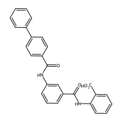 O=C(Nc1cccc(C(=O)Nc2ccccc2C(=O)O)c1)c1ccc(-c2ccccc2)cc1